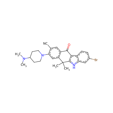 CN(C)C1CCN(c2cc3c(cc2C#N)C(=O)c2c([nH]c4cc(Br)ccc24)C3(C)C)CC1